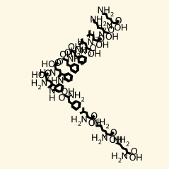 CC(C)C[C@H](N)C(=O)O.CC(C)C[C@H](N)C(=O)O.CC(C)C[C@H](N)C(=O)O.NCCCC[C@H](N)C(=O)O.NCCCC[C@H](N)C(=O)O.NCCCC[C@H](N)C(=O)O.NCCCC[C@H](N)C(=O)O.N[C@@H](Cc1c[nH]c2ccccc12)C(=O)O.N[C@@H](Cc1c[nH]c2ccccc12)C(=O)O.N[C@@H](Cc1ccccc1)C(=O)O.N[C@@H](Cc1ccccc1)C(=O)O.N[C@@H](Cc1ccccc1)C(=O)O